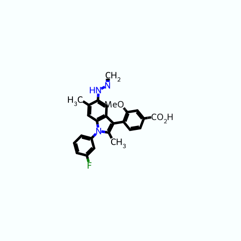 C=NNc1cc2c(-c3ccc(C(=O)O)cc3OC)c(C)n(-c3cccc(F)c3)c2cc1C